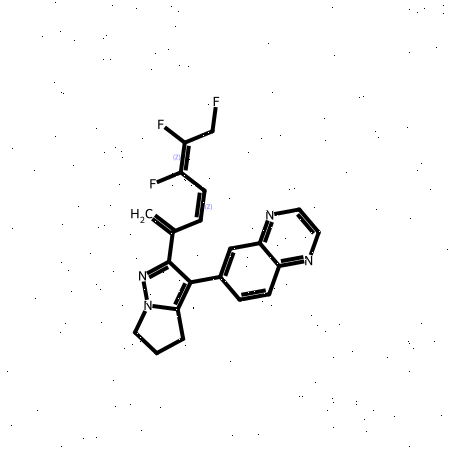 C=C(/C=C\C(F)=C(\F)CF)c1nn2c(c1-c1ccc3nccnc3c1)CCC2